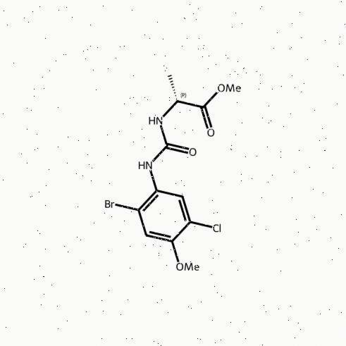 COC(=O)[C@@H](C)NC(=O)Nc1cc(Cl)c(OC)cc1Br